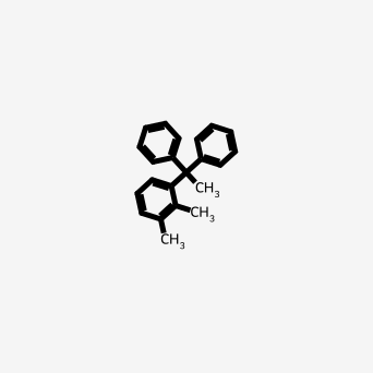 Cc1cccc(C(C)(c2ccccc2)c2ccccc2)c1C